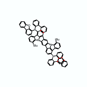 CC(C)(C)c1cccc2c3c(N(c4ccccc4-c4ccccc4)c4cccc5c4oc4ccccc45)ccc4c5cc6c(cc5n(c12)c43)c1ccc(N(c2ccccc2-c2ccccc2)c2cccc3c2oc2ccccc23)c2c3cccc(C(C)(C)C)c3n6c12